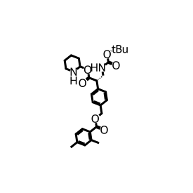 Cc1ccc(C(=O)OCc2ccc([C@@H](CNC(=O)OC(C)(C)C)C(=O)OC3CCCCN3)cc2)c(C)c1